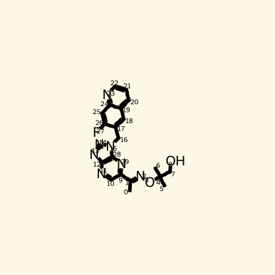 CC(=NOC(C)(C)CO)c1cnc2nnn(Cc3cc4cccnc4cc3F)c2n1